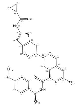 COc1ccc([C@H](C)NC(=O)c2nc(C)nc3ccc(-c4ccc5nc(NC(=O)C6CC6)sc5c4)cc23)cc1